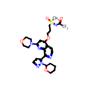 CS(=O)(CCCOc1cc(N2CCOCC2)nc2c(-c3ccnn3C3CCCCO3)nccc12)=NC(=O)C(F)(F)F